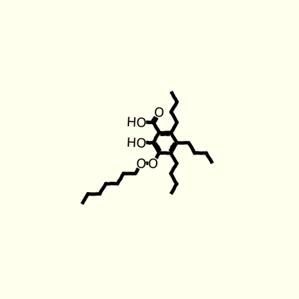 CCCCCCCOOc1c(O)c(C(=O)O)c(CCCC)c(CCCC)c1CCCC